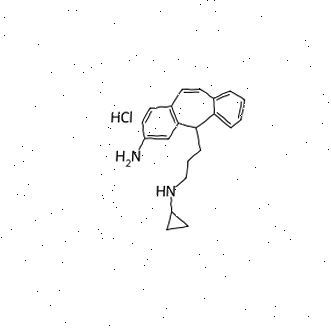 Cl.Nc1ccc2c(c1)C(CCCNC1CC1)c1ccccc1C=C2